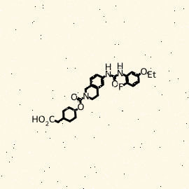 CCOc1ccc(F)c(NC(=O)Nc2ccc3c(c2)CCN(C(=O)OC2CCC(CC(=O)O)CC2)C3)c1